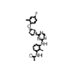 CC(=O)Nc1cccc(Nc2ncnc(N3CC[C@H](Oc4ccc(F)cc4C)C3)n2)c1C